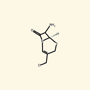 NC1C(=O)N2C=C(CCl)CS[C@H]12